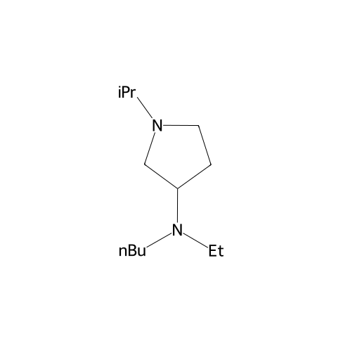 CCCCN(CC)C1CCN(C(C)C)C1